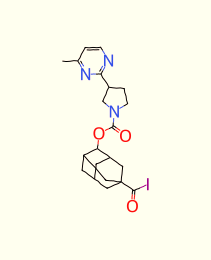 Cc1ccnc(C2CCN(C(=O)OC3C4CC5CC3CC(C(=O)I)(C5)C4)C2)n1